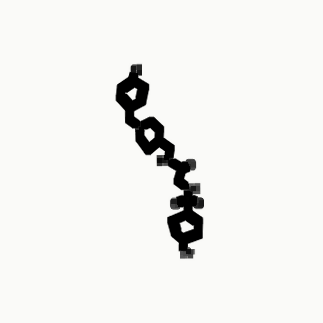 CC(C)c1ccc(S(=O)(=O)NCC(=O)NCC2CCN(Cc3ccc(Cl)cc3)CC2)cc1